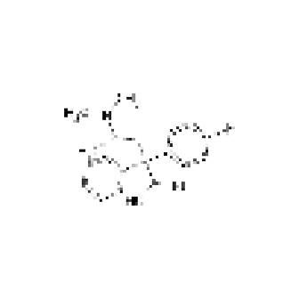 CCC(O)[C@@](C[C@H](C)N(C)C)(c1ccccc1)c1ccc(F)cc1